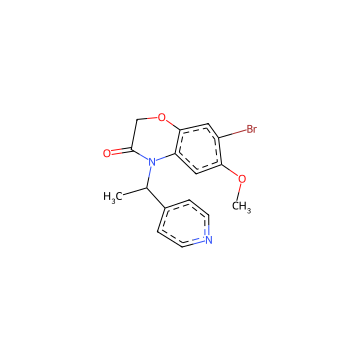 COc1cc2c(cc1Br)OCC(=O)N2C(C)c1ccncc1